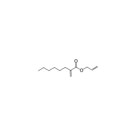 C=CCOC(=O)C(=C)CCCCCC